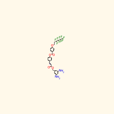 Nc1cc(N)cc(COC(=O)/C=C/c2ccc(OC(=O)c3ccc(OCCC(F)(F)C(F)(F)C(F)(F)C(F)(F)F)cc3)cc2)c1